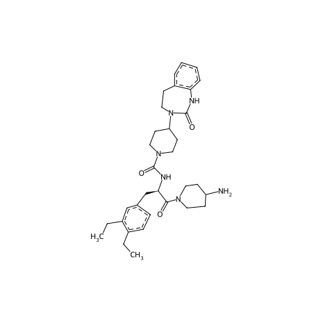 CCc1ccc(C[C@@H](NC(=O)N2CCC(N3CCc4ccccc4NC3=O)CC2)C(=O)N2CCC(N)CC2)cc1CC